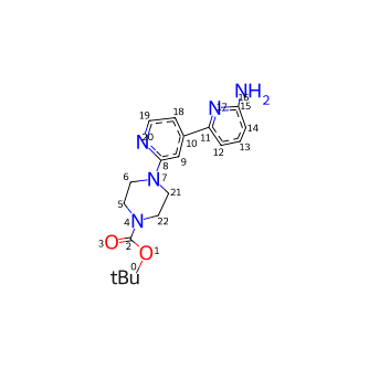 CC(C)(C)OC(=O)N1CCN(c2cc(-c3cccc(N)n3)ccn2)CC1